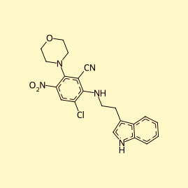 N#Cc1c(NCCc2c[nH]c3ccccc23)c(Cl)cc([N+](=O)[O-])c1N1CCOCC1